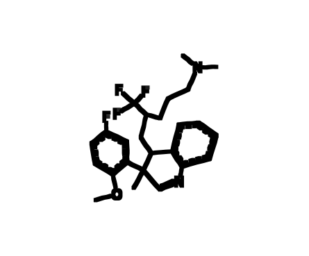 COc1ccc(F)cc1C1(C)C=Nc2ccccc2C1CC(CCCN(C)C)C(F)(F)F